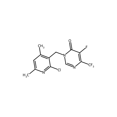 Cc1cc(C)c(Cn2cnc(C(F)(F)F)c(F)c2=O)c(Cl)n1